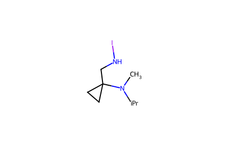 CC(C)N(C)C1(CNI)CC1